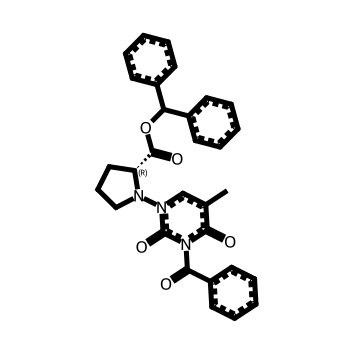 Cc1cn(N2CCC[C@@H]2C(=O)OC(c2ccccc2)c2ccccc2)c(=O)n(C(=O)c2ccccc2)c1=O